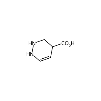 O=C(O)C1C=CNNC1